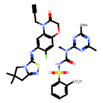 C#CCN1C(=O)COc2cc(F)c(/N=c3\snc4n3CC(C)(C)C4)cc21.COc1nc(C)nc(N(C)C(=O)NS(=O)(=O)c2ccccc2C(=O)O)n1